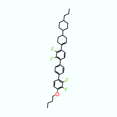 CCCCOc1ccc(-c2ccc(-c3ccc(C4=CCC(C5CCC(CCC)CC5)CC4)c(F)c3F)cc2)c(F)c1F